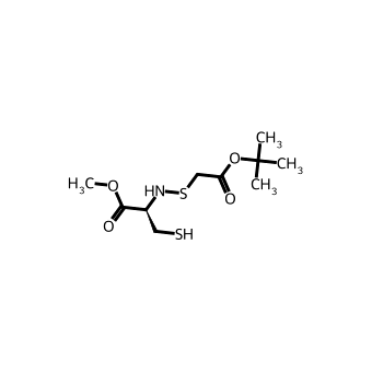 COC(=O)[C@H](CS)NSCC(=O)OC(C)(C)C